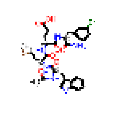 CSCC[C@H](NC(=O)[C@@H](Cc1c[nH]c2ccccc12)NC(C)=O)C(=O)N[C@@H](CCC(=O)O)C(=O)N[C@@H](Cc1cccc(Br)c1)C(N)=O